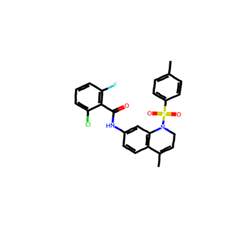 CC1=CCN(S(=O)(=O)c2ccc(C)cc2)c2cc(NC(=O)c3c(F)cccc3Cl)ccc21